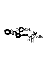 CN1CCC(OC(c2cccc(C#CCNC(=N)NC(=O)OC(C)(C)C)c2)c2nc3ccccc3[nH]2)CC1